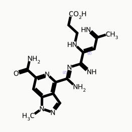 CC(=N)/C=C(\NCCC(=O)O)C(=N)/N=C(\N)c1nc(C(N)=O)cc2c1cnn2C